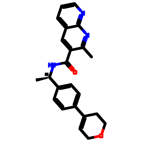 Cc1nc2ncccc2cc1C(=O)N[C@@H](C)c1ccc(C2=CCOCC2)cc1